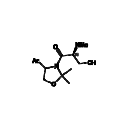 CN[C@@H](CO)C(=O)N1C(C(C)=O)COC1(C)C